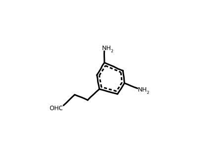 Nc1cc(N)cc(CCC=O)c1